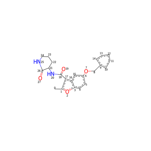 Cc1oc2ccc(OCc3ccccc3)cc2c1C(=O)NC1CCCNC1=O